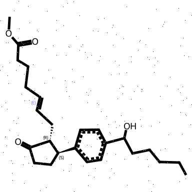 CCCCCC(O)c1ccc([C@H]2CCC(=O)[C@@H]2C/C=C/CCCC(=O)OC)cc1